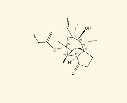 C=C[C@]1(C)C[C@@H](OC(=O)CI)[C@]2(C)C(C)CC[C@]3(CCC(=O)[C@H]32)[C@@H](C)[C@@H]1O